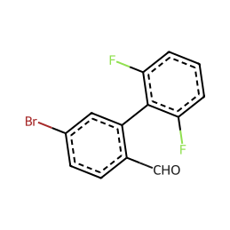 O=Cc1ccc(Br)cc1-c1c(F)cccc1F